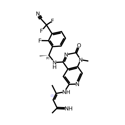 CC(=N)/C=C(/C)Nc1cc2c(N[C@H](C)c3cccc(C(F)(F)C#N)c3F)nc(=O)n(C)c2cn1